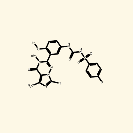 CCCn1c(-c2cc(NC(=O)NS(=O)(=O)c3ccc(F)cc3)ccc2OCC)nn2c(CC)nc(C)c2c1=O